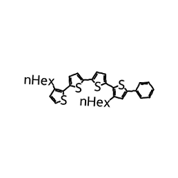 CCCCCCc1ccsc1-c1ccc(-c2ccc(-c3sc(-c4ccccc4)cc3CCCCCC)s2)s1